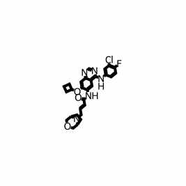 O=C(/C=C/CN1C2CCC1COC2)Nc1cc2c(Nc3ccc(F)c(Cl)c3)ncnc2cc1OC1CCC1